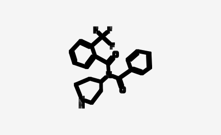 O=C(c1ccccc1)N(C(=O)c1ccccc1C(F)(F)F)C1CCNCC1